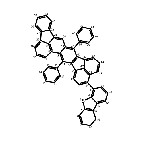 C1=Cc2sc3c(-c4ccc5c6c(-c7ccccc7)c7c(cc8c9ccccc9c9cccc7c98)c(-c7ccccc7)c6c6cccc4c65)cccc3c2CC1